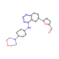 O=Cc1ccc(-c2ccc3ncnc(Nc4ccc(N5CCOCC5)cc4)c3c2)o1